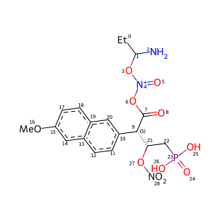 CCC(N)O[N+](=O)OC(=O)[C@@H](c1ccc2cc(OC)ccc2c1)C(CP(=O)(O)O)O[N+](=O)[O-]